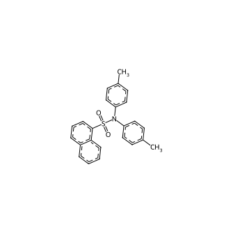 Cc1ccc(N(c2ccc(C)cc2)S(=O)(=O)c2cccc3ccccc23)cc1